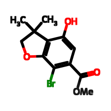 COC(=O)c1cc(O)c2c(c1Br)OCC2(C)C